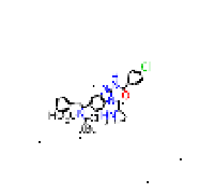 C[C@H](N(C(=O)O)C(Cc1ccccc1)c1ccc2c(c1)nc(NC(=O)c1ccc(Cl)cc1)n2CC1CCCN1)C(C)(C)C